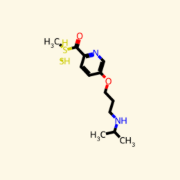 CC(C)NCCCOc1ccc(C(=O)[SH](C)S)nc1